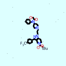 CC(C)(C)OC(=O)N1CCc2c(c(-c3ccc(C(F)(F)F)cc3)nn2CCCN2CCC(N3C(=O)COc4ccccc43)CC2)C1